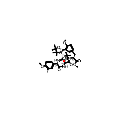 COC(=O)[C@H](Cc1ccc(OC)c(B2OC(C)(C)C(C)(C)O2)c1)NC(=O)[C@H](C)NC(=O)[C@@H](NC(=O)OC(C)(C)C)c1ccc(OC)c(I)c1